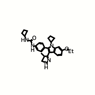 CCOc1ccc2c(C3=NNCC3C)c(-c3ccc(NC(=O)NC4CCC4)cc3)n(C3CCC3)c2c1